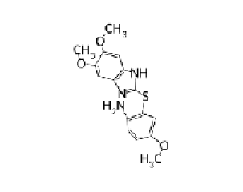 COc1ccc(N)c(Sc2nc3cc(OC)c(OC)cc3[nH]2)c1